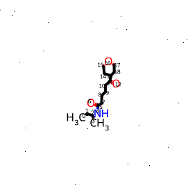 CCC(C)NC(=O)CCCCC(=O)C1CCOCC1